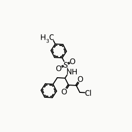 Cc1ccc(S(=O)(=O)NC(Cc2ccccc2)C(=O)C(=O)CCl)cc1